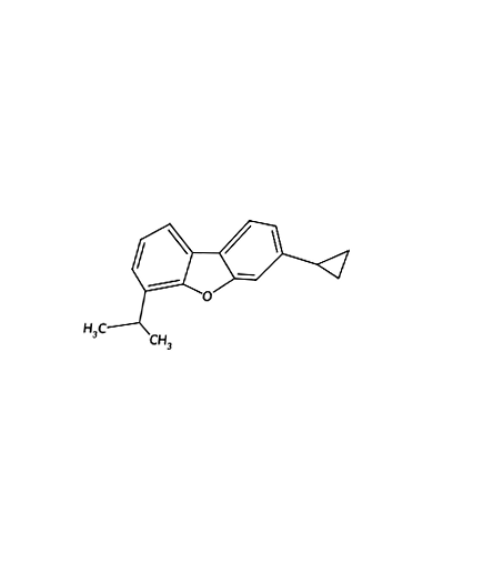 CC(C)c1cccc2c1oc1cc(C3CC3)ccc12